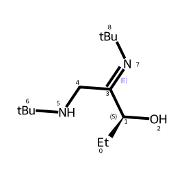 CC[C@H](O)/C(CNC(C)(C)C)=N/C(C)(C)C